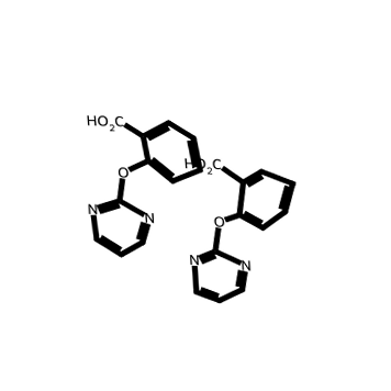 O=C(O)c1ccccc1Oc1ncccn1.O=C(O)c1ccccc1Oc1ncccn1